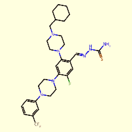 NC(=S)NN=Cc1cc(F)c(N2CCN(c3cccc(C(F)(F)F)c3)CC2)cc1N1CCN(CC2CCCCC2)CC1